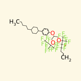 C=CCC(F)(F)C(F)(F)C(OCC(COC(C(F)(F)F)(C(F)(F)F)C(F)(F)C(F)(F)F)Oc1ccc(C2CCC(CCCCC)CC2)cc1)(C(F)(F)F)C(F)(F)F